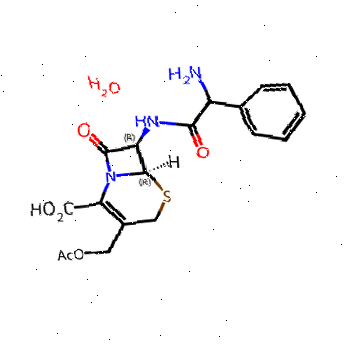 CC(=O)OCC1=C(C(=O)O)N2C(=O)[C@@H](NC(=O)C(N)c3ccccc3)[C@H]2SC1.O